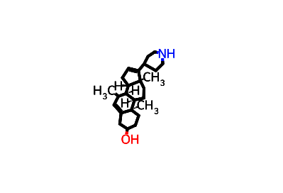 CC1C=C2CC(O)CC[C@]2(C)[C@@H]2CC[C@]3(C)C(C4CCNCC4)=CC[C@H]3[C@H]12